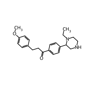 CCN1CCNCC1c1ccc(C(=O)CCc2ccc(OC)cc2)cc1